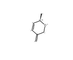 C=C1C=C[C@@H](C)OC1